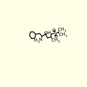 CC(CC(O)C(N)CC1CCCCC1)CS(=O)(=O)C(C)C